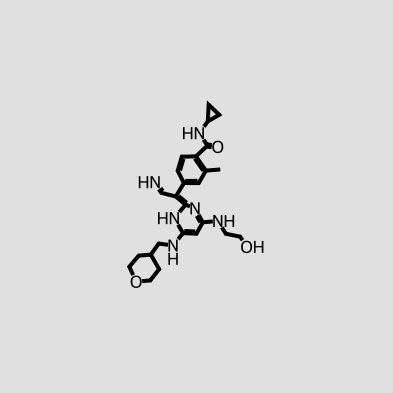 Cc1cc(/C(C=N)=C2\N=C(NCCO)C=C(NCC3CCOCC3)N2)ccc1C(=O)NC1CC1